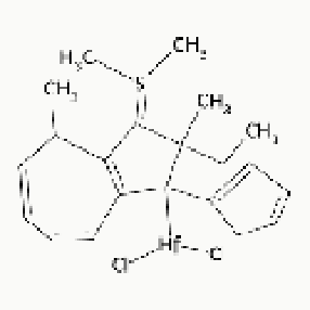 CCC1(C)C(=[Si](C)C)C2=C(C=CC=CC2C)[C]1(C1=CC=CC1)[Hf]([Cl])[Cl]